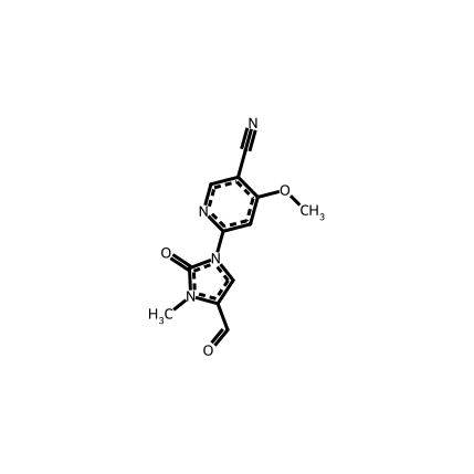 COc1cc(-n2cc(C=O)n(C)c2=O)ncc1C#N